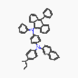 CCC(C)c1ccc(N(c2ccc(N(c3ccccc3)c3c4ccccc4c(-c4ccccc4)c4ccccc34)cc2)c2ccc3ccccc3c2)cc1